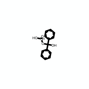 O=[PH](O)OC(O)(c1ccccc1)c1ccccc1